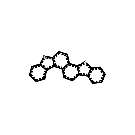 c1ccc2c(c1)sc1c2ccc2c1ccc1sc3ccccc3c12